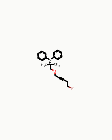 CC(C)(COCC#CCCBr)[SiH](c1ccccc1)c1ccccc1